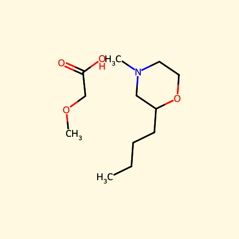 CCCCC1CN(C)CCO1.COCC(=O)O